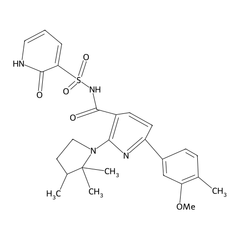 COc1cc(-c2ccc(C(=O)NS(=O)(=O)c3ccc[nH]c3=O)c(N3CCC(C)C3(C)C)n2)ccc1C